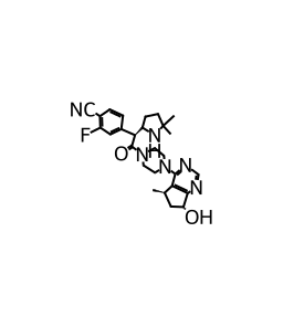 C[C@@H]1C[C@@H](O)c2ncnc(N3CCN(C(=O)[C@@H](c4ccc(C#N)c(F)c4)C4CCC(C)(C)N4)CC3)c21